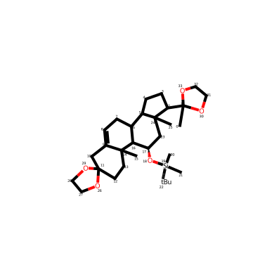 CC1(C2CCC3C4CC=C5CC6(CCC5(C)C4[C@H](O[Si](C)(C)C(C)(C)C)CC32C)OCCO6)OCCO1